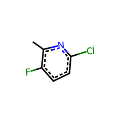 Cc1nc(Cl)ccc1F